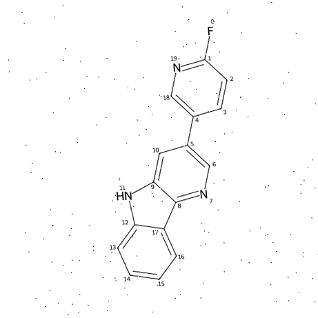 Fc1ccc(-c2cnc3c(c2)[nH]c2ccccc23)cn1